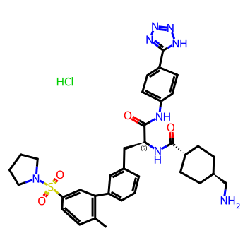 Cc1ccc(S(=O)(=O)N2CCCC2)cc1-c1cccc(C[C@H](NC(=O)[C@H]2CC[C@H](CN)CC2)C(=O)Nc2ccc(-c3nnn[nH]3)cc2)c1.Cl